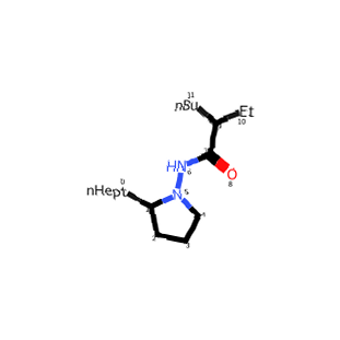 CCCCCCCC1CCCN1NC(=O)C(CC)CCCC